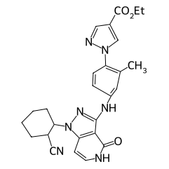 CCOC(=O)c1cnn(-c2ccc(Nc3nn(C4CCCCC4C#N)c4cc[nH]c(=O)c34)cc2C)c1